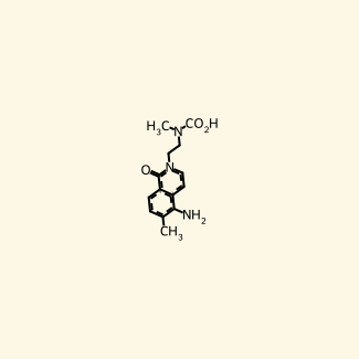 Cc1ccc2c(=O)n(CCN(C)C(=O)O)ccc2c1N